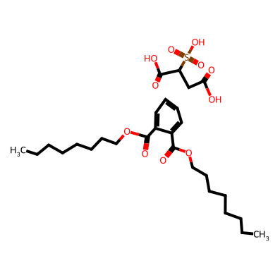 CCCCCCCCOC(=O)c1ccccc1C(=O)OCCCCCCCC.O=C(O)CC(C(=O)O)S(=O)(=O)O